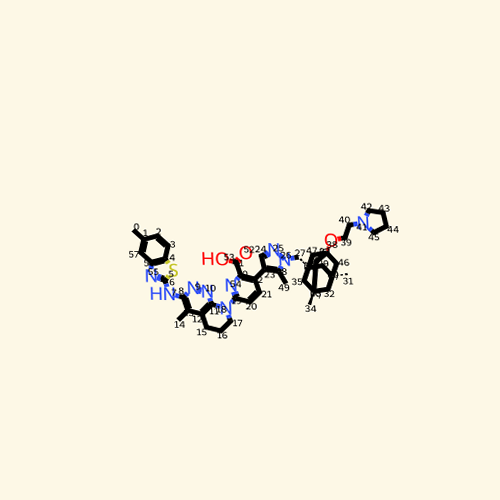 Cc1ccc2sc(Nc3nnc4c(c3C)CCCN4c3ccc(-c4cnn(C[C@]56C[C@]7(C)C[C@](C)(C5)C[C@@](OCCN5CCCC5)(C7)C6)c4C)c(C(=O)O)n3)nc2c1